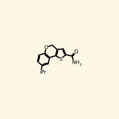 CC(C)c1ccc2c(c1)-c1sc(C(N)=O)cc1CO2